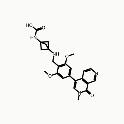 COc1cc(-c2cn(C)c(=O)c3cnccc23)cc(OC)c1CNC12CC(NC(=O)O)(C1)C2